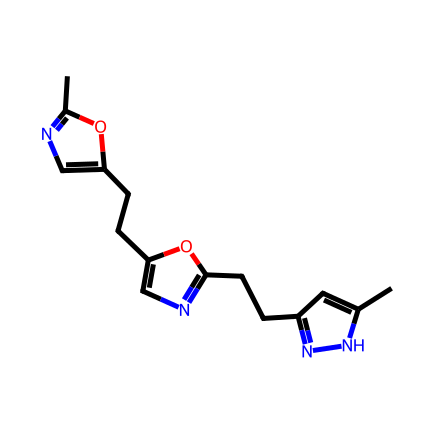 Cc1cc(CCc2ncc(CCc3cnc(C)o3)o2)n[nH]1